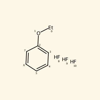 CCOc1ccccc1.F.F.F